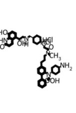 CN(CCCc1ccc(-c2ccccc2)c(N(C(=O)O)[C@H]2CC[C@H](N)CC2)c1)C(=O)CO[C@H]1CC[C@H](CNC[C@H](O)c2ccc(O)c3[nH]c(=O)ccc23)CC1.Cl.Cl